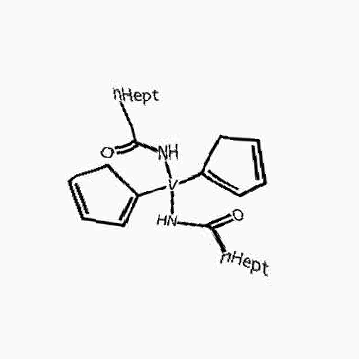 CCCCCCCC(=O)[NH][V]([NH]C(=O)CCCCCCC)([C]1=CC=CC1)[C]1=CC=CC1